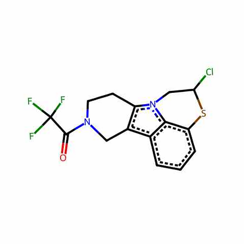 O=C(N1CCc2c(c3cccc4c3n2CC(Cl)S4)C1)C(F)(F)F